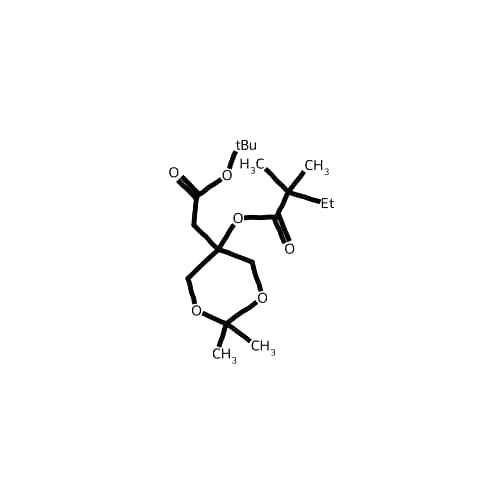 CCC(C)(C)C(=O)OC1(CC(=O)OC(C)(C)C)COC(C)(C)OC1